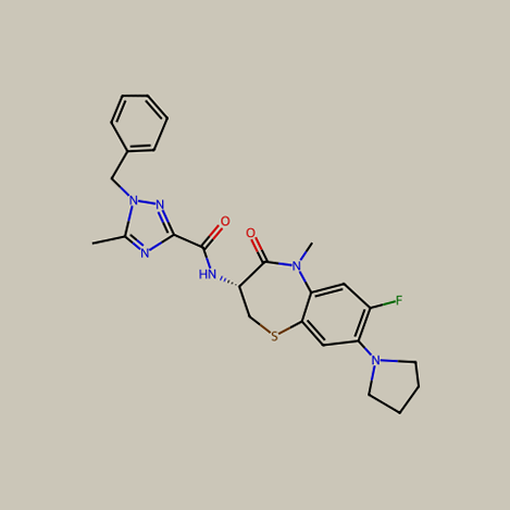 Cc1nc(C(=O)N[C@H]2CSc3cc(N4CCCC4)c(F)cc3N(C)C2=O)nn1Cc1ccccc1